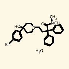 CN(C)C(=O)C(CCN1CCC(O)(c2ccc(Br)cc2)CC1)(c1ccccc1)c1ccccc1.O